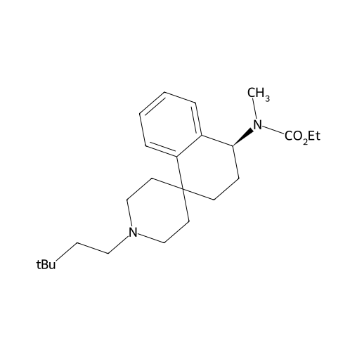 CCOC(=O)N(C)[C@H]1CCC2(CCN(CCC(C)(C)C)CC2)c2ccccc21